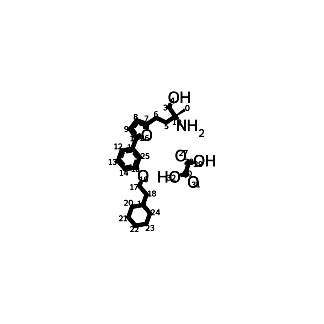 C[C@](N)(CO)CCc1ccc(-c2cccc(OCCC3CCCCC3)c2)o1.O=C(O)C(=O)O